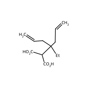 C=CCC(CC)(CC=C)C(C(=O)O)C(=O)O